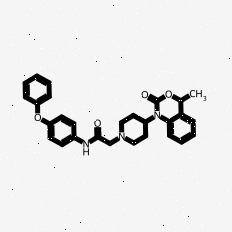 CC1OC(=O)N(C2CCN(CC(=O)Nc3ccc(Oc4ccccc4)cc3)CC2)c2ccccc21